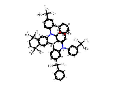 Cc1cc2c3c(c1)N(c1ccc(C(C)(C)C)cc1-c1ccccc1)c1cc4c(cc1B3c1ccc(C(C)(C)c3ccccc3)cc1N2c1cccc(C(C)(C)C)c1)C(C)(C)CCC4(C)C